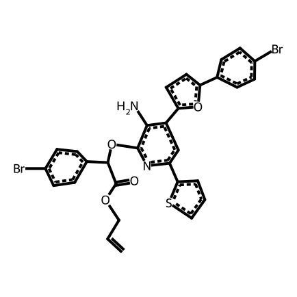 C=CCOC(=O)C(Oc1nc(-c2cccs2)cc(-c2ccc(-c3ccc(Br)cc3)o2)c1N)c1ccc(Br)cc1